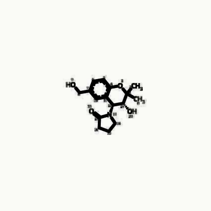 CC1(C)Oc2ccc(CO)cc2[C@H](N2CCCC2=O)[C@H]1O